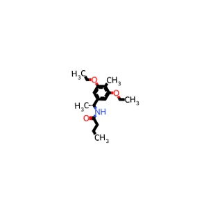 CCCC(=O)N[C@H](C)c1cc(OCC)c(C)c(OCC)c1